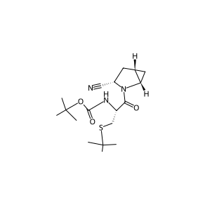 CC(C)(C)OC(=O)N[C@@H](CSC(C)(C)C)C(=O)N1[C@H](C#N)C[C@@H]2C[C@@H]21